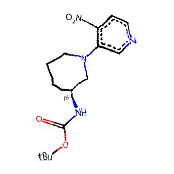 CC(C)(C)OC(=O)N[C@H]1CCCN(c2cnccc2[N+](=O)[O-])C1